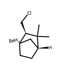 CC1(C)[C@@H]2CCC(C2)[C@H]1CCl.[BeH2]